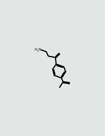 C=C(C)c1ccc(C(=C)CCN)cc1